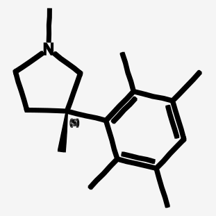 Cc1cc(C)c(C)c([C@]2(C)CCN(C)C2)c1C